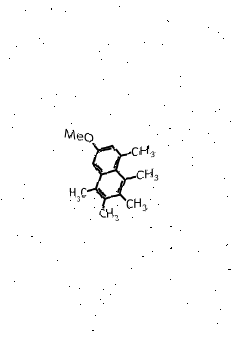 COc1cc(C)c2c(C)c(C)c(C)c(C)c2c1